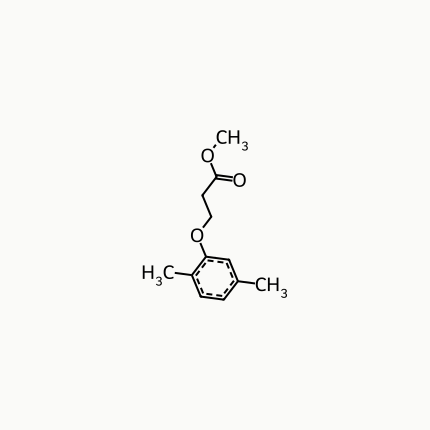 COC(=O)CCOc1cc(C)ccc1C